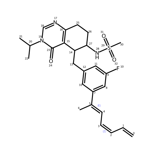 C=C/C=C\C=C(/C)c1cc(F)cc(CC2c3c(ncn(C(C)C)c3=O)CCC2NS(C)(=O)=O)c1